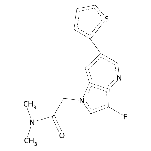 CN(C)C(=O)Cn1cc(F)c2ncc(-c3cccs3)cc21